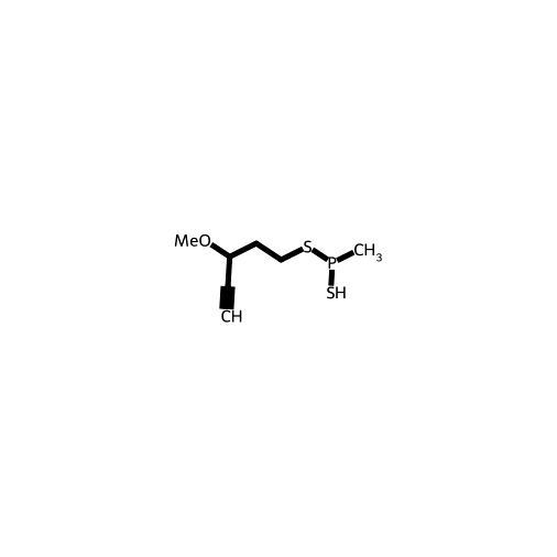 C#CC(CCSP(C)S)OC